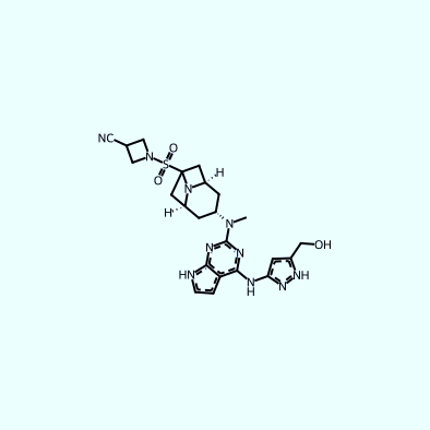 CN(c1nc(Nc2cc(CO)[nH]n2)c2cc[nH]c2n1)[C@H]1C[C@@H]2CC3(S(=O)(=O)N4CC(C#N)C4)C[C@H](C1)N23